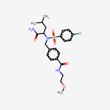 COCCNC(=O)c1ccc(CN(C(CC(C)C)C(N)=O)S(=O)(=O)c2ccc(Cl)cc2)cc1